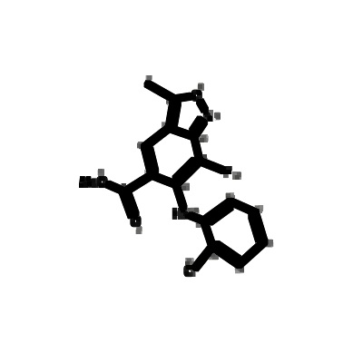 COC(=O)c1cc2c(C)onc2c(F)c1Nc1ccccc1Cl